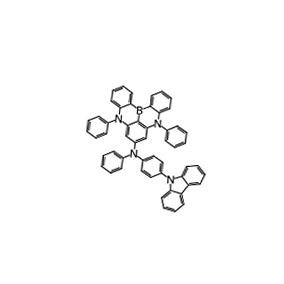 c1ccc(N(c2ccc(-n3c4ccccc4c4ccccc43)cc2)c2cc3c4c(c2)N(c2ccccc2)c2ccccc2B4c2ccccc2N3c2ccccc2)cc1